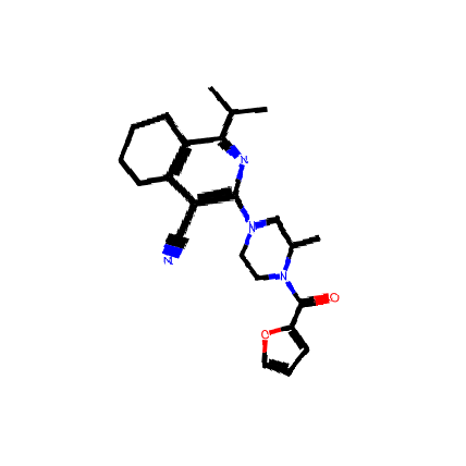 CC(C)c1nc(N2CCN(C(=O)c3ccco3)C(C)C2)c(C#N)c2c1CCCC2